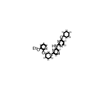 CCOc1cccnc1O[C@@H]1CCCN(c2cncc(Nc3nccc(OC4CCCCC4)n3)n2)C1